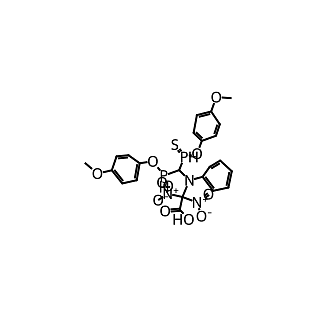 COc1ccc(O[PH](=O)C(N(c2ccccc2)C(C(=O)O)([N+](=O)[O-])[N+](=O)[O-])[PH](=S)Oc2ccc(OC)cc2)cc1